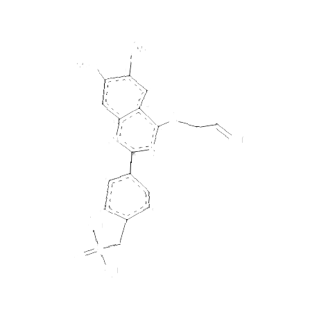 C=CCOc1nc(-c2ccc(CP(=O)(O)O)cc2)nc2cc(OC)c(OC)cc12